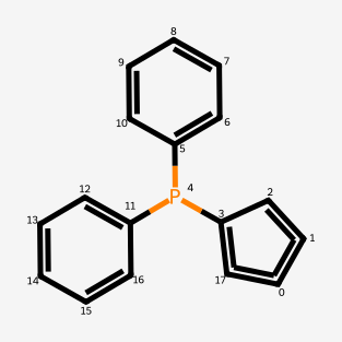 C1=C=CC(P(c2ccccc2)c2ccccc2)=C=1